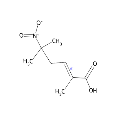 C/C(=C\CC(C)(C)[N+](=O)[O-])C(=O)O